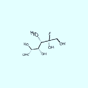 O=C[C@H](O)[C@@H](O)[C@H](O)[C@@](O)(F)CO